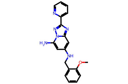 COc1ccccc1CNc1cc(N)n2nc(-c3ccccn3)nc2c1